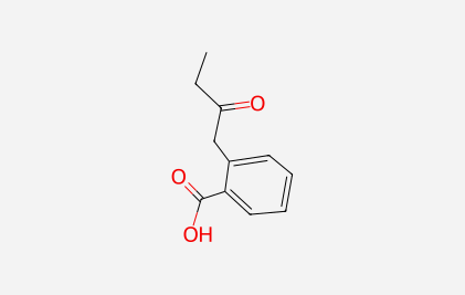 CCC(=O)Cc1ccccc1C(=O)O